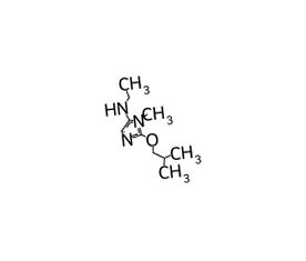 CCNc1cnc(OCC(C)C)n1C